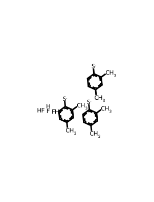 Cc1ccc([S])c(C)c1.Cc1ccc([S])c(C)c1.Cc1ccc([S])c(C)c1.F.F.F